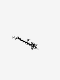 CCCCCCCCCCCCCC(=O)N[C@@H](C)C(=O)[O-].[K+]